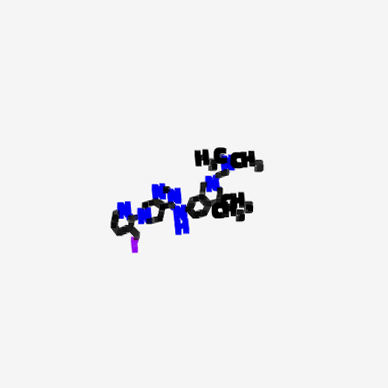 CN(C)CCN1Cc2cc(Nc3ncnc4c3CCN(c3ncccc3CI)C4)ccc2C(C)(C)C1